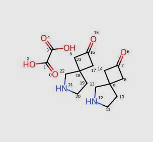 O=C(O)C(=O)O.O=C1CC2(CCNC2)C1.O=C1CC2(CCNC2)C1